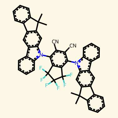 CC1(C)c2ccccc2-c2cc3c4ccccc4n(-c4c(C#N)c(C#N)c(-n5c6ccccc6c6cc7c(cc65)C(C)(C)c5ccccc5-7)c5c4C(F)(F)C(F)(F)C5(F)F)c3cc21